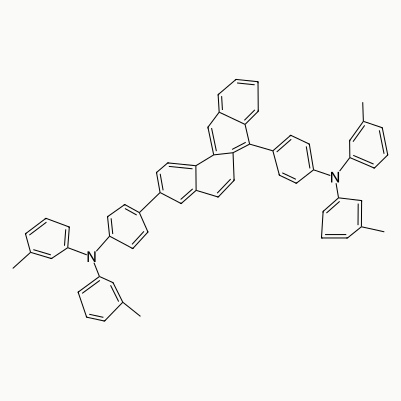 Cc1cccc(N(c2ccc(-c3ccc4c(ccc5c(-c6ccc(N(c7cccc(C)c7)c7cccc(C)c7)cc6)c6ccccc6cc54)c3)cc2)c2cccc(C)c2)c1